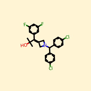 CC(C)(O)C(=C1CN(C(c2ccc(Cl)cc2)c2ccc(Cl)cc2)C1)c1cc(F)cc(F)c1